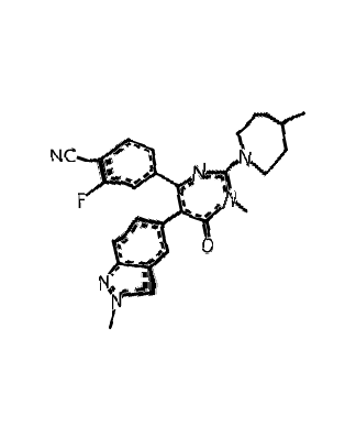 CC1CCN(c2nc(-c3ccc(C#N)c(F)c3)c(-c3ccc4nn(C)cc4c3)c(=O)n2C)CC1